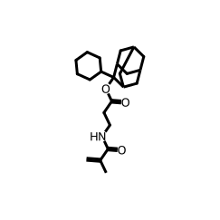 C=C(C)C(=O)NCCC(=O)OC1(C2CCCCC2)C2CC3CC(C2)CC1C3